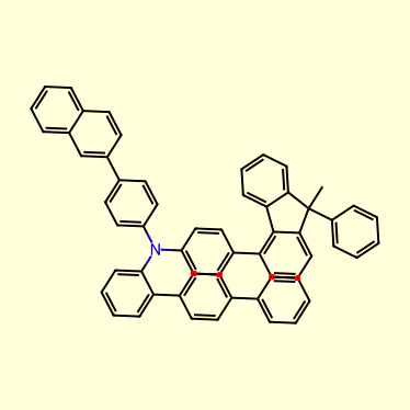 CC1(c2ccccc2)c2ccccc2-c2c(-c3ccc(N(c4ccc(-c5ccc6ccccc6c5)cc4)c4ccccc4-c4ccc(-c5ccccc5)cc4)cc3)cccc21